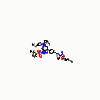 CC(C)N1C[C@H](NS(=O)(=O)C(C)C)[C@@H](c2ccc(-c3cccc(NS(C)(=O)=O)c3)cc2)C1